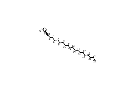 [CH2]OC#CCCCCCCCCCCCCCCCCCCC